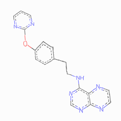 c1cnc(Oc2ccc(CCNc3ncnc4nccnc34)cc2)nc1